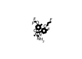 Cc1cc([C@@]2(c3ccc(F)c(OCCCF)c3)N=C(N)N(C)C2=O)ccc1OC(F)F